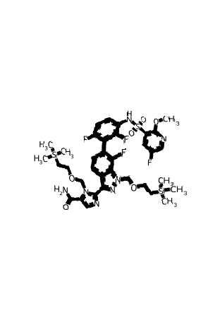 COc1ncc(F)cc1S(=O)(=O)Nc1ccc(F)c(-c2ccc3c(-c4ncc(C(N)=O)n4COCC[Si](C)(C)C)nn(COCC[Si](C)(C)C)c3c2F)c1F